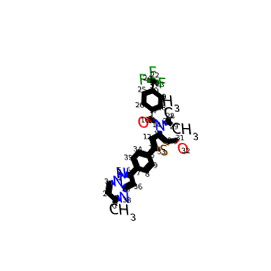 Cc1ccn2nc(-c3ccc(-c4cc(N(C(=O)[C@H]5CC[C@H](C(F)(F)F)CC5)C(C)C)c(C=O)s4)cc3)cc2n1